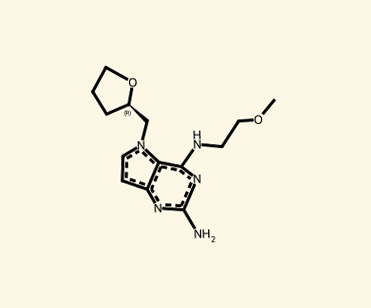 COCCNc1nc(N)nc2ccn(C[C@H]3CCCO3)c12